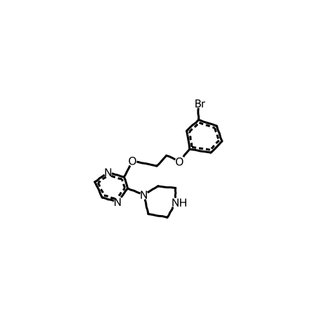 Brc1cccc(OCCOc2nccnc2N2CCNCC2)c1